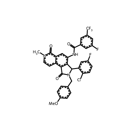 COc1ccc(CN2C(=O)c3c(c(NC(=O)c4cc(F)cc(C(F)(F)F)c4)cc4c(=O)n(C)ccc34)C2c2cc(F)ccc2Cl)cc1